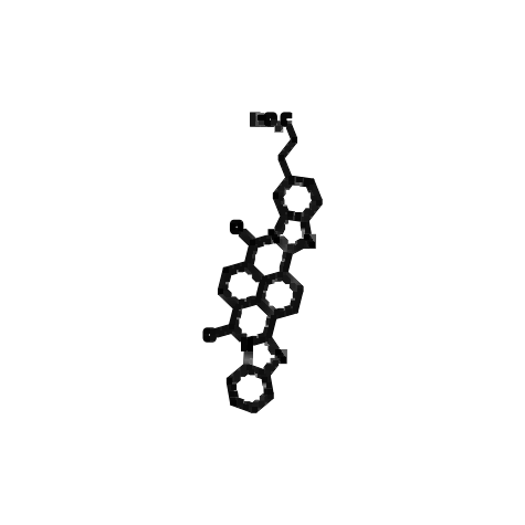 CCOC(=O)CCc1ccc2nc3c4ccc5c6c(ccc(c(=O)n3c2c1)c46)c(=O)n1c2ccccc2nc51